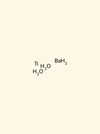 O.O.[BaH2].[Ti]